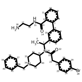 CC(c1cccc(-c2ccccc2C(=O)NCCN)c1)N(C(=O)Cc1ccc(Br)cc1)C1CCN(Cc2ccccc2)CC1